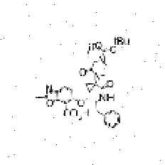 Cc1nc2ccc(OC[C@@H](Cc3ccccc3)NC(=O)C3(N(C)C(=O)[C@H](CC(C)C)N(C)C(=O)OC(C)(C)C)CC3)c(C(=O)O)c2o1